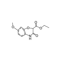 CCOC(=O)C1Oc2cc(OC)ccc2NC1=O